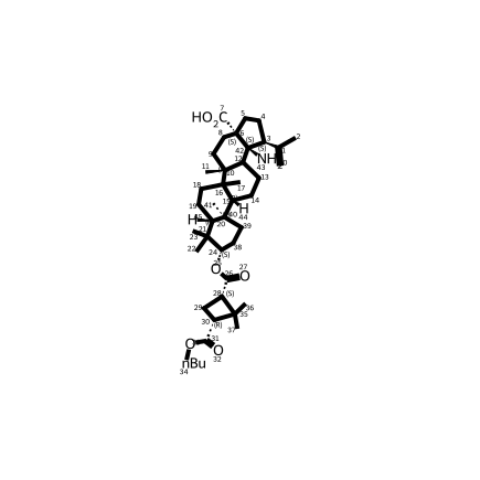 C=C(C)[C@@H]1CC[C@]2(C(=O)O)CC[C@]3(C)C(CC[C@H]4C3(C)CC[C@H]3C(C)(C)[C@@H](OC(=O)[C@H]5C[C@@H](C(=O)OCCCC)C5(C)C)CC[C@@]34C)[C@@]12N